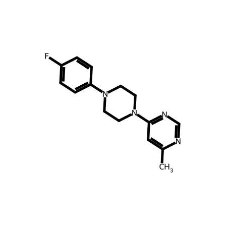 Cc1cc(N2CCN(c3ccc(F)cc3)CC2)ncn1